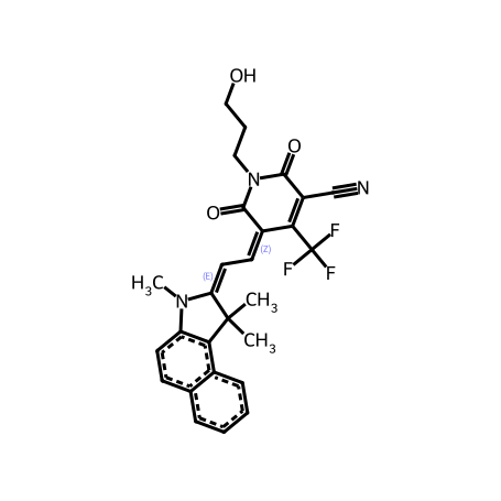 CN1/C(=C/C=C2\C(=O)N(CCCO)C(=O)C(C#N)=C2C(F)(F)F)C(C)(C)c2c1ccc1ccccc21